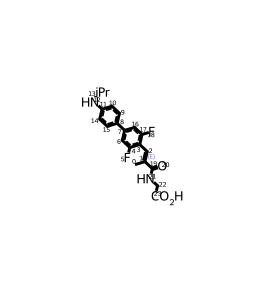 C/C(=C\c1c(F)cc(-c2ccc(NC(C)C)cc2)cc1F)C(=O)NCC(=O)O